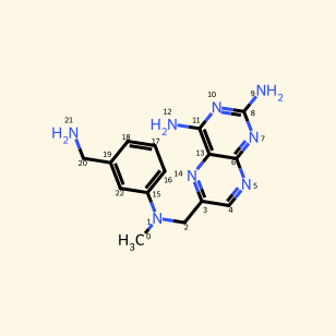 CN(Cc1cnc2nc(N)nc(N)c2n1)c1cccc(CN)c1